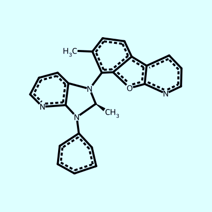 Cc1ccc2c(oc3ncccc32)c1N1c2cccnc2N(c2ccccc2)[C@@H]1C